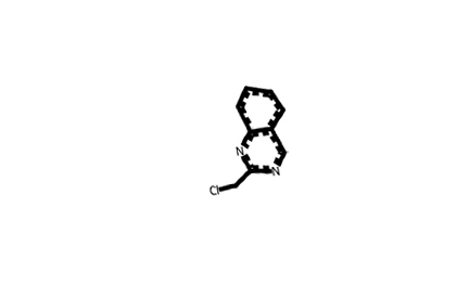 ClCc1n[c]c2ccccc2n1